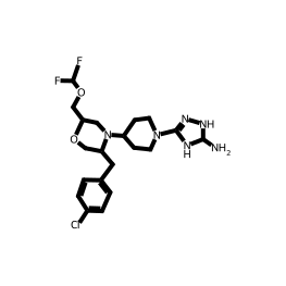 NC1NN=C(N2CCC(N3CC(COC(F)F)OCC3Cc3ccc(Cl)cc3)CC2)N1